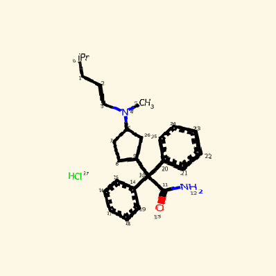 CC(C)CCCN(C)C1CCC(C(C(N)=O)(c2ccccc2)c2ccccc2)C1.Cl